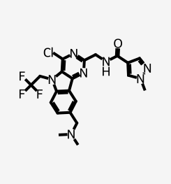 CN(C)Cc1ccc2c(c1)c1nc(CNC(=O)c3cnn(C)c3)nc(Cl)c1n2CC(F)(F)F